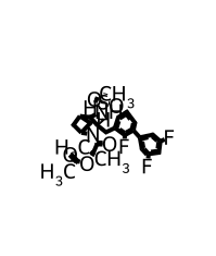 CC(=O)OC(C)(C)C(=O)N1C2CC(C2)[C@H](NS(C)(=O)=O)[C@@H]1Cc1cccc(-c2cc(F)cc(F)c2)c1F